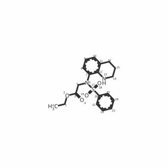 CCOC(=O)CN(c1cccc2c1NCCC2)S(=O)(=O)c1ccccc1